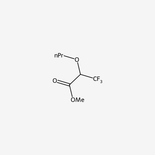 CCCOC(C(=O)OC)C(F)(F)F